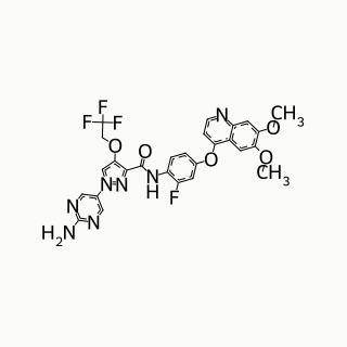 COc1cc2nccc(Oc3ccc(NC(=O)c4nn(-c5cnc(N)nc5)cc4OCC(F)(F)F)c(F)c3)c2cc1OC